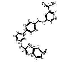 O=C(O)c1cncc(OCc2ccc(-c3cccc(Cc4nc5ccc(F)cc5s4)c3)cc2)c1